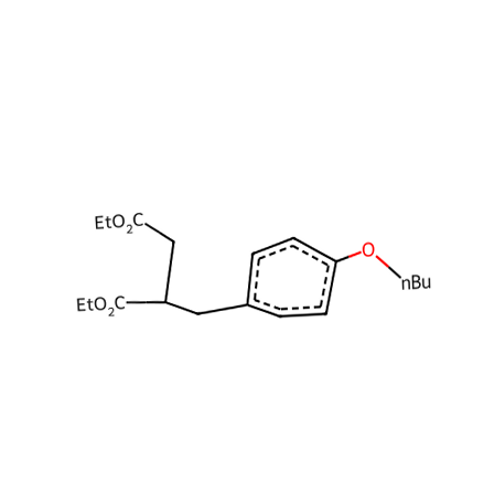 CCCCOc1ccc(CC(CC(=O)OCC)C(=O)OCC)cc1